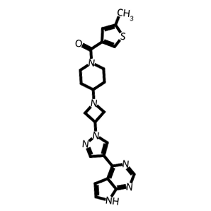 Cc1cc(C(=O)N2CCC(N3CC(n4cc(-c5ncnc6[nH]ccc56)cn4)C3)CC2)cs1